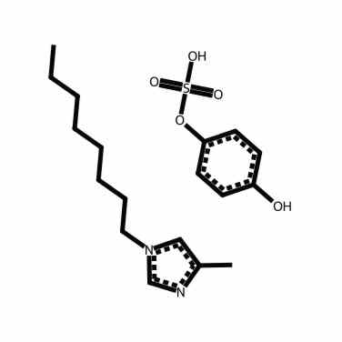 CCCCCCCCn1cnc(C)c1.O=S(=O)(O)Oc1ccc(O)cc1